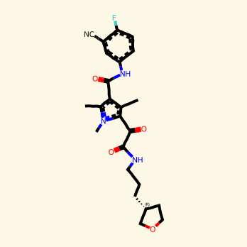 Cc1c(C(=O)Nc2ccc(F)c(C#N)c2)c(C)n(C)c1C(=O)C(=O)NCCC[C@@H]1CCOC1